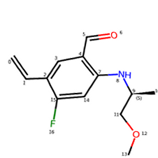 C=Cc1cc(C=O)c(N[C@@H](C)COC)cc1F